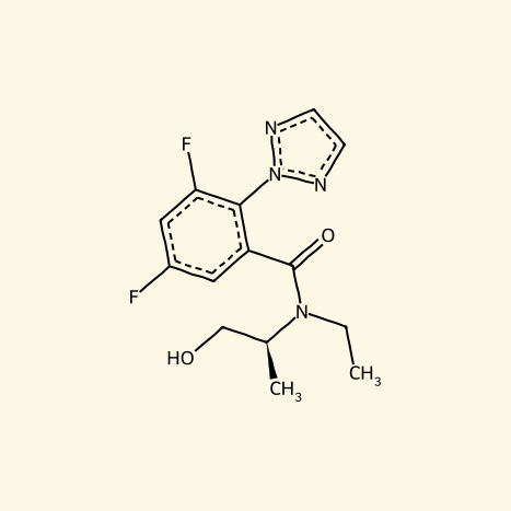 CCN(C(=O)c1cc(F)cc(F)c1-n1nccn1)[C@@H](C)CO